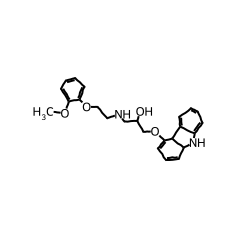 COc1ccccc1OCCNCC(O)COC1=CC=CC2Nc3ccccc3C12